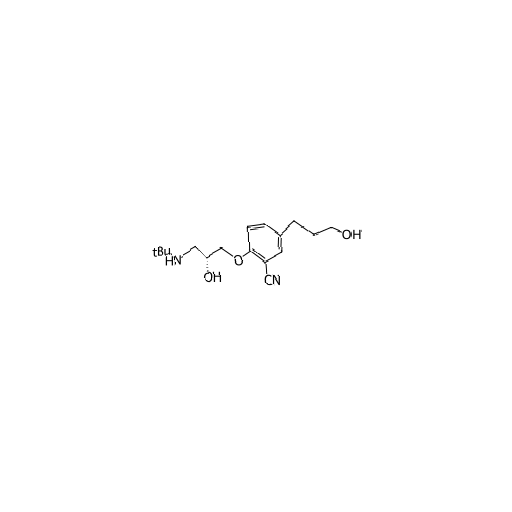 CC(C)(C)NC[C@@H](O)COc1ccc(CCCO)cc1C#N